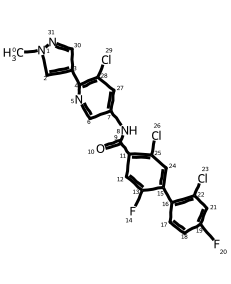 Cn1cc(-c2ncc(NC(=O)c3cc(F)c(-c4ccc(F)cc4Cl)cc3Cl)cc2Cl)cn1